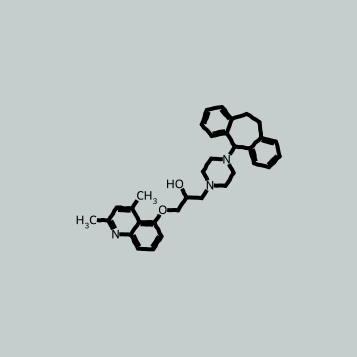 Cc1cc(C)c2c(OCC(O)CN3CCN(C4c5ccccc5CCc5ccccc54)CC3)cccc2n1